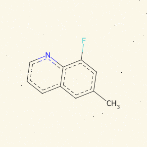 Cc1cc(F)c2ncccc2c1